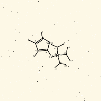 CC1=C(C)C(C)=[C]([V][N+](C(C)C)(C(C)C)C(C)C)C1